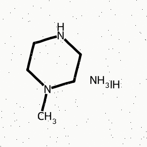 CN1CCNCC1.I.N